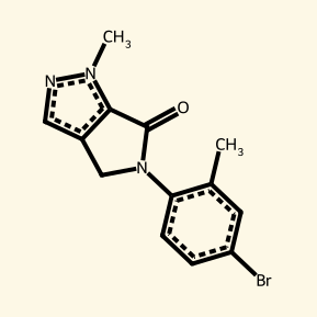 Cc1cc(Br)ccc1N1Cc2cnn(C)c2C1=O